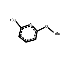 CCCCOc1cccc(C(C)(C)C)n1